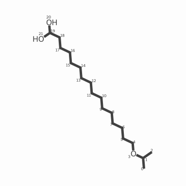 CC(C)OCCCCCCCCCCCCCCCC(O)O